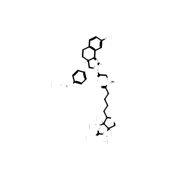 C=C1N[C@H]2CSC(CCCCC(=O)N(C)CC(=O)N3N=C4c5cc(C)ccc5CC[C@H]4[C@H]3c3ccc(OC)cc3)[C@H]2N1